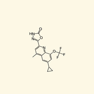 Cc1cc(-c2n[nH]c(=O)o2)nc2c(OC(F)(F)F)cc(C3CC3)cc12